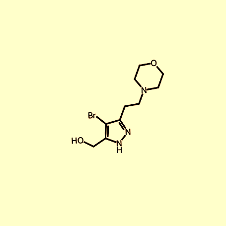 OCc1[nH]nc(CCN2CCOCC2)c1Br